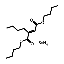 CCCCOC(=O)/C=C(\CCCC)C(=O)OCCCC.[SnH4]